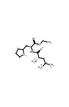 CCOC(=O)[C@H](CC1CCCO1)NC(=O)[C@@H](N)CC(C)C